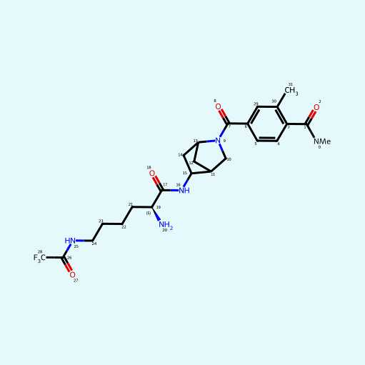 CNC(=O)c1ccc(C(=O)N2CC3CC2CC3NC(=O)[C@@H](N)CCCCNC(=O)C(F)(F)F)cc1C